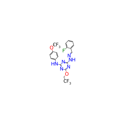 Fc1ccccc1/C=N/Nc1nc(Nc2ccc(OC(F)(F)F)cc2)nc(OCC(F)(F)F)n1